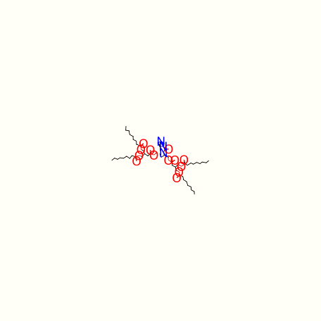 CCCCCCCCC(=O)OCC(COC(=O)CCCCCCCC)CC(=O)OC[C@H]1C[C@H](COC(=O)CC(COC(=O)CCCCCCCC)COC(=O)CCCCCCCC)N1C(=O)n1ccnc1